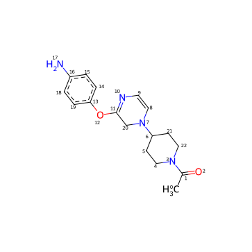 CC(=O)N1CCC(N2C=CN=C(Oc3ccc(N)cc3)C2)CC1